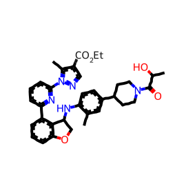 CCOC(=O)c1cnn(-c2cccc(-c3cccc4c3C(Nc3ccc(C5CCN(C(=O)C(C)O)CC5)cc3C)CO4)n2)c1C